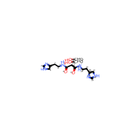 O=C(CC(=O)NCCc1c[nH]cn1)NCCc1c[nH]cn1.O=CO.O=CO